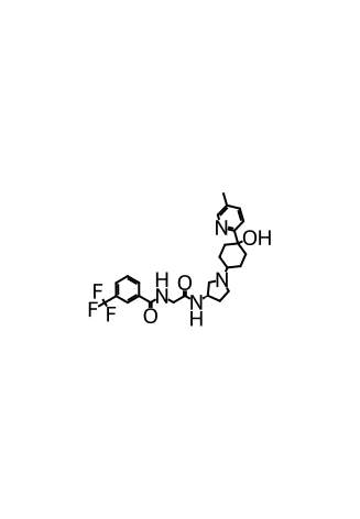 Cc1ccc(C2(O)CCC(N3CC[C@@H](NC(=O)CNC(=O)c4cccc(C(F)(F)F)c4)C3)CC2)nc1